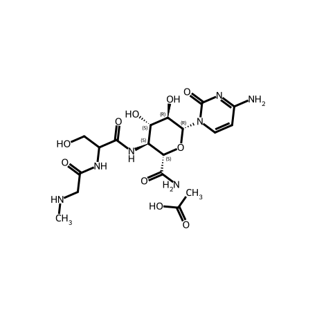 CC(=O)O.CNCC(=O)NC(CO)C(=O)N[C@H]1[C@H](O)[C@@H](O)[C@H](n2ccc(N)nc2=O)O[C@@H]1C(N)=O